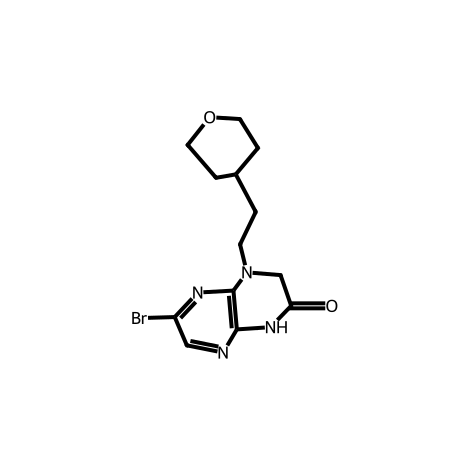 O=C1CN(CCC2CCOCC2)c2nc(Br)cnc2N1